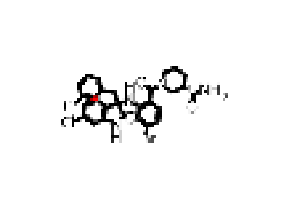 NC(=O)[C@H]1CCCN(C(=O)c2ccc(Br)cc2NC2(Cc3cccc(Cl)c3)C(=O)Nc3cc(Cl)ccc32)C1